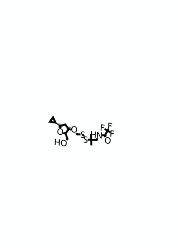 CC(C)(CNC(=O)C(F)(F)F)SSCO[C@@H]1C[C@H](C2CC2)OC1CO